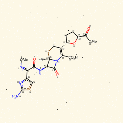 CO/N=C(\C(=O)N[C@@H]1C(=O)N2C(C(=O)O)=C([C@@H]3CC[C@@H](C(=O)OC)O3)CS[C@H]12)c1csc(N)n1